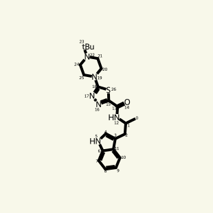 CC(Cc1c[nH]c2ccccc12)NC(=O)c1nnc(N2CCN(C(C)(C)C)CC2)s1